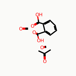 C=O.C=O.CC(C)=O.O=C(O)c1ccccc1C(=O)O